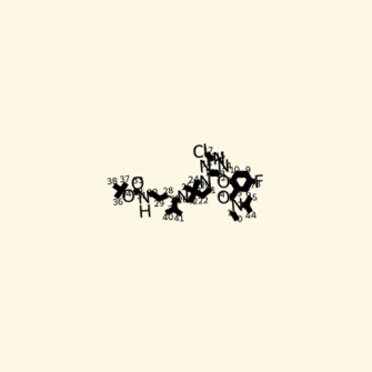 CCN(C(=O)c1cc(F)ccc1Oc1nnc(Cl)nc1N1CCC2(C1)CN([C@@H](CCCNC(=O)OC(C)(C)C)C(C)C)C2)C(C)C